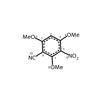 COc1cc(OC)c([N+](=O)[O-])c(OC)c1C#N